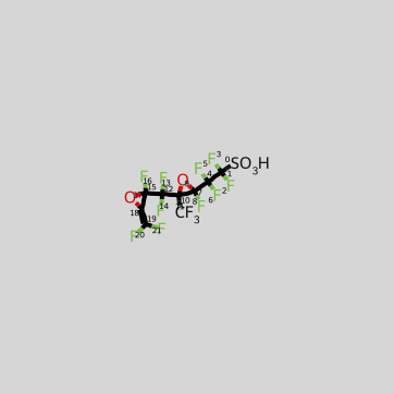 O=S(=O)(O)C(F)(F)C(F)(F)C1(F)OC1(C(F)(F)F)C(F)(F)C1(F)OC1=C(F)F